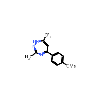 COc1ccc(C2=NC(C)=NNC(C(F)(F)F)=C2)cc1